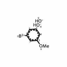 [B+2]c1cccc(OC)c1.[OH-].[OH-]